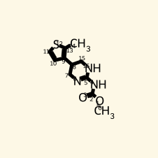 COC(=O)NC1=NCC(c2ccsc2C)CN1